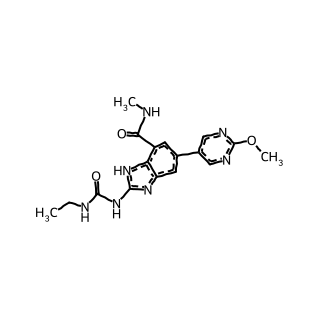 CCNC(=O)Nc1nc2cc(-c3cnc(OC)nc3)cc(C(=O)NC)c2[nH]1